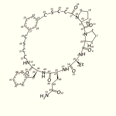 CC[C@@H]1NC(=O)[C@@H]2CCCN2C(=O)[C@@H]2CCCN2C(=O)CCSCc2cccc(c2)CSCCNC(=O)[C@H](Cc2ccccc2)NC(=O)[C@H](CCC(N)=O)NC1=O